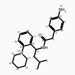 CC(C)CC(NC(=O)Cc1ccc(N)cc1)c1ccccc1N1CCCCC1